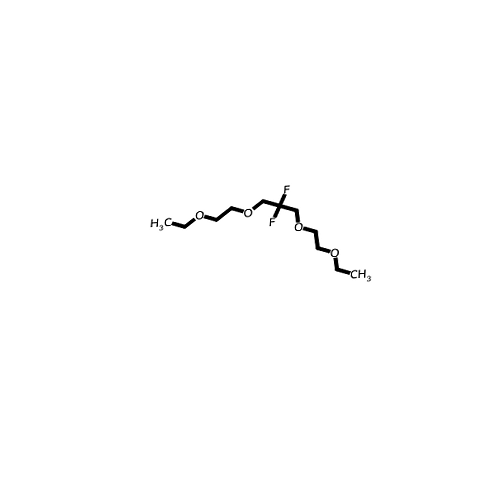 CCOCCOCC(F)(F)COCCOCC